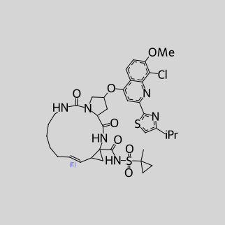 COc1ccc2c(OC3CC4C(=O)NC5(C(=O)NS(=O)(=O)C6(C)CC6)CC5/C=C/CCCCCNC(=O)N4C3)cc(-c3nc(C(C)C)cs3)nc2c1Cl